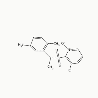 Cc1ccc(C)c(C(C)S(=O)(=O)c2c(Cl)ccc[n+]2[O-])c1